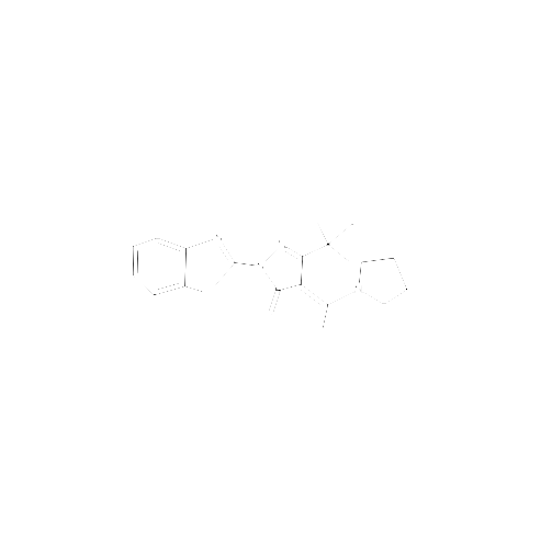 C/C(=C1\C(=O)N(c2nc3ccccc3s2)N=C1C(F)(F)F)N1CCCC1